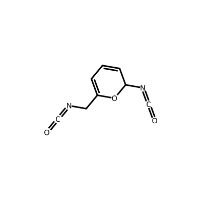 O=C=NCC1=CC=CC(N=C=O)O1